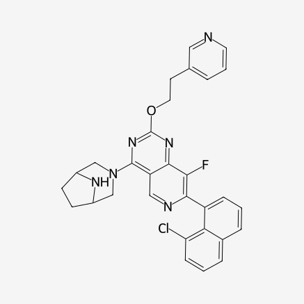 Fc1c(-c2cccc3cccc(Cl)c23)ncc2c(N3CC4CCC(C3)N4)nc(OCCc3cccnc3)nc12